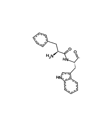 N[C@@H](Cc1ccccc1)C(=O)N[C@H]([C]=O)Cc1c[nH]c2ccccc12